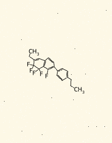 CCCc1ccc(-c2ccc3c(c2F)C(F)(F)C(F)(F)C(CC)=C3)cc1